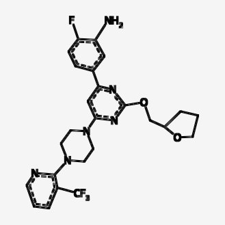 Nc1cc(-c2cc(N3CCN(c4ncccc4C(F)(F)F)CC3)nc(OCC3CCCO3)n2)ccc1F